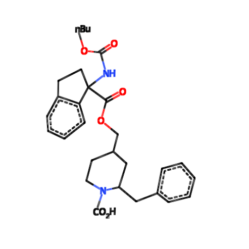 CCCCOC(=O)NC1(C(=O)OCC2CCN(C(=O)O)C(Cc3ccccc3)C2)CCc2ccccc21